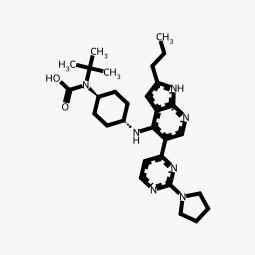 CCCc1cc2c(N[C@H]3CC[C@H](N(C(=O)O)C(C)(C)C)CC3)c(-c3ccnc(N4CCCC4)n3)cnc2[nH]1